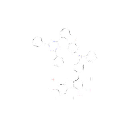 Oc1c(O)c(O)c2c(sc3c(-c4ccc5c(c4)c4ccccc4n5-c4ccc5c(c4)sc4cccc(-c6nc(-c7ccccc7)nc(-c7ccccc7)n6)c45)c(O)c(O)c(O)c32)c1O